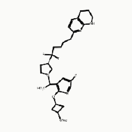 COC1CC(Oc2ncc(F)cc2C(C(=O)O)N2CC[C@@H](C(F)(F)CCCCc3ccc4c(n3)NCCC4)C2)C1